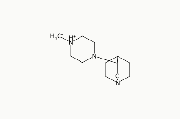 [CH2-][NH+]1CCN(C2CN3CCC2CC3)CC1